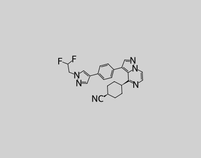 N#C[C@H]1CC[C@@H](c2nccn3ncc(-c4ccc(-c5cnn(CC(F)F)c5)cc4)c23)CC1